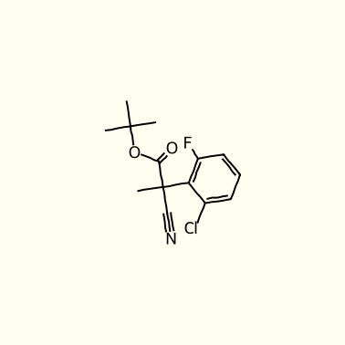 CC(C)(C)OC(=O)C(C)(C#N)c1c(F)cccc1Cl